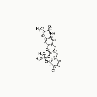 CC1Oc2ccc(CN(Cc3ccc(Cl)cc3)C(=O)OC(C)(C)C)cc2NC1=O